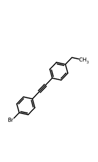 CCc1ccc(C#Cc2ccc(Br)cc2)cc1